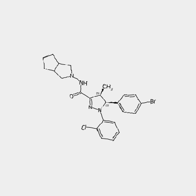 C[C@@H]1C(C(=O)NN2CC3CCCC3C2)=NN(c2ccccc2Cl)[C@@H]1c1ccc(Br)cc1